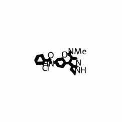 CNC(=O)c1cnc2[nH]ccc2c1-c1ccc(NC(=O)c2ccccc2Cl)cc1